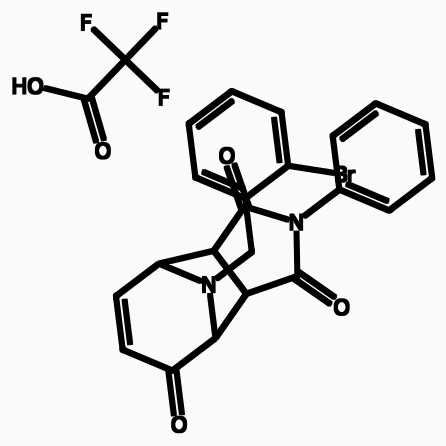 O=C(O)C(F)(F)F.O=C1C=CC2C3C(=O)N(c4ccccc4)C(=O)C3C1N2Cc1ccccc1Br